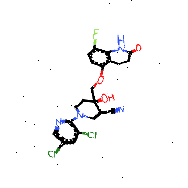 N#CC1CN(c2ncc(Cl)cc2Cl)CCC1(O)COc1ccc(F)c2c1CCC(=O)N2